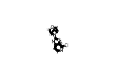 Clc1nccc2nc(N3C4COCC3C4)sc12